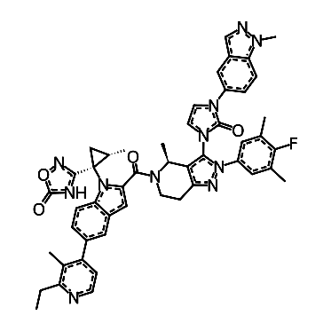 CCc1nccc(-c2ccc3c(c2)cc(C(=O)N2CCc4nn(-c5cc(C)c(F)c(C)c5)c(-n5ccn(-c6ccc7c(cnn7C)c6)c5=O)c4[C@@H]2C)n3[C@@]2(c3noc(=O)[nH]3)C[C@@H]2C)c1C